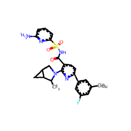 CC(C)COc1cc(F)cc(-c2ccc(C(=O)NS(=O)(=O)c3cccc(N)n3)c(N3CC4CC4C3C(F)(F)F)n2)c1